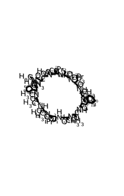 CC(C)CC1NC(=O)C(C)N(C)C(=O)CNC(=O)C(Cc2ccccc2)N(C)C(=O)C(C)NC(=O)C(CC(C)C)N(C)C(=O)C(CC(C)C)NC(=O)C(C)N(C)C(=O)CC(C(=O)N(C)C)N(C)C(=O)C(C2CCCC2)N(C)C(=O)C(C)NC(=O)C(C)N(C)C1=O